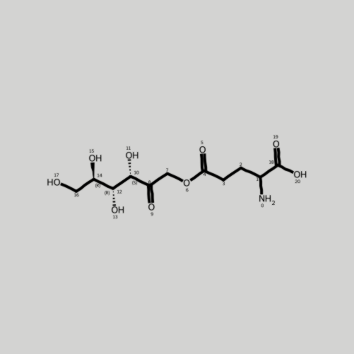 NC(CCC(=O)OCC(=O)[C@@H](O)[C@H](O)[C@H](O)CO)C(=O)O